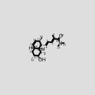 C/C(=C\C=C\[C@@H]1[C@@H]2[C@H](C)[C@@H](O)[C@H](C)C[C@@H]2C=C[C@H]1C)C(=O)N(C)C